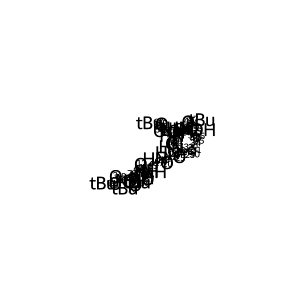 CC(C)(C)OC(=O)NCCC[C@@H](CNC(=O)[C@H](CCCCNC(=O)CCNC(=O)[C@@H]1Cc2cccc(c2)-c2ccc(O)c(c2)C[C@H](NC(=O)OC(C)(C)C)C(=O)N[C@@H](C[C@@H](O)CNC(=O)OC(C)(C)C)C(=O)N1)NC(=O)OC(C)(C)C)NC(=O)OC(C)(C)C